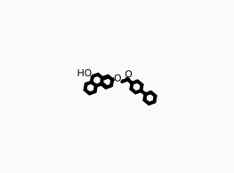 O=C(COC1C=C2CC(O)C3CCCCC3C2=CC1)C1CCC(C2CCCCC2)CC1